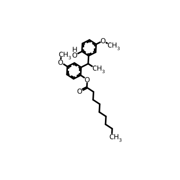 CCCCCCCCC(=O)Oc1ccc(OC)cc1C(C)c1cc(OC)ccc1O